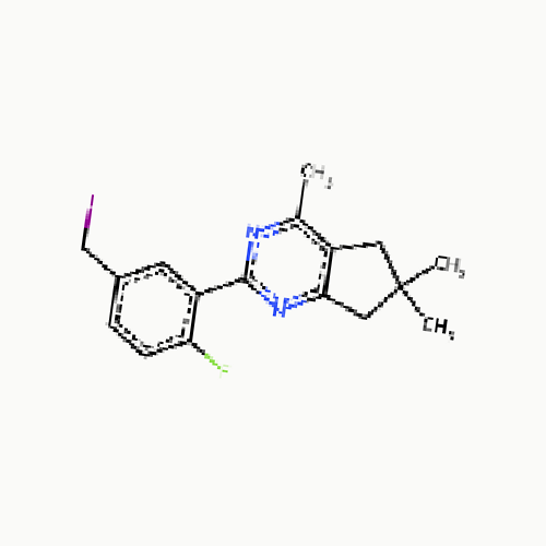 Cc1nc(-c2cc(CI)ccc2F)nc2c1CC(C)(C)C2